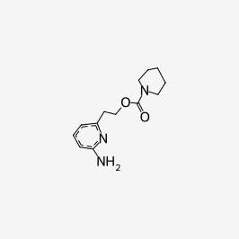 Nc1cccc(CCOC(=O)N2CCCCC2)n1